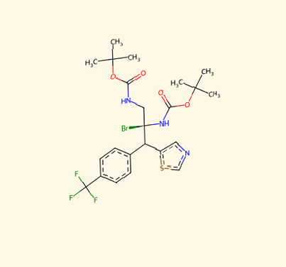 CC(C)(C)OC(=O)NC[C@](Br)(NC(=O)OC(C)(C)C)C(c1ccc(C(F)(F)F)cc1)c1cncs1